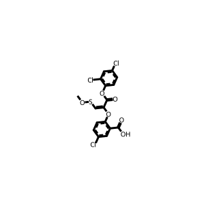 COSC=C(Oc1ccc(Cl)cc1C(=O)O)C(=O)Oc1ccc(Cl)cc1Cl